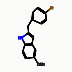 COc1ccc2[nH]c(Cc3ccc(Br)cc3)cc2c1